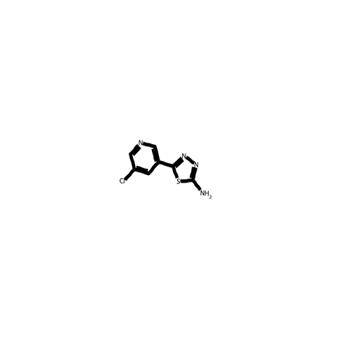 Nc1nnc(-c2cncc(Cl)c2)s1